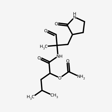 CC(C)CC(OC(N)=O)C(=O)NC(C)(C=O)CC1CCNC1=O